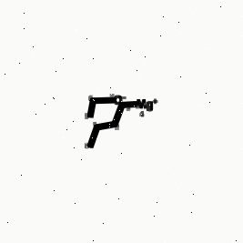 CCC[CH2][Mg+].CC[O-]